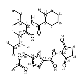 CC[C@H](C)[C@H](NC(=O)C1CCCCN1C)C(=O)N(C)[C@H](C[C@@H](OC(C)=O)c1nc(C(=O)ON2C(=O)CCC2=O)cs1)C(C)C